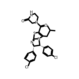 CC(C)CC1=C(C(=O)N2CCNC(=O)C2)SC2=N[C@@H](c3ccc(Cl)cc3)[C@@H](c3ccc(Cl)cc3)N21